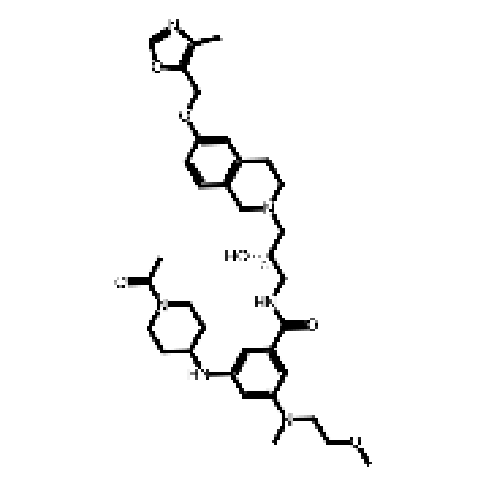 COCCN(C)c1cc(NC2CCN(C(C)=O)CC2)cc(C(=O)NC[C@H](O)CN2CCc3cc(OCc4ocnc4C)ccc3C2)c1